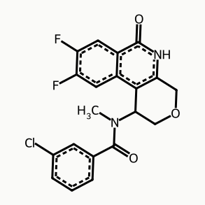 CN(C(=O)c1cccc(Cl)c1)C1COCc2[nH]c(=O)c3cc(F)c(F)cc3c21